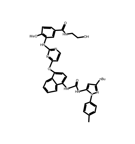 CCCCc1cc(NC(=O)Nc2ccc(Oc3ccnc(Nc4cc(C(=O)NCCO)ccc4OC)n3)c3ccccc23)n(-c2ccc(C)cc2)n1